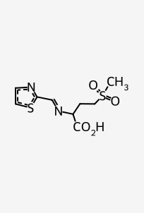 CS(=O)(=O)CCC(N=Cc1nccs1)C(=O)O